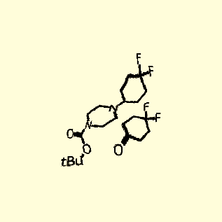 CC(C)(C)OC(=O)N1CCN(C2CCC(F)(F)CC2)CC1.O=C1CCC(F)(F)CC1